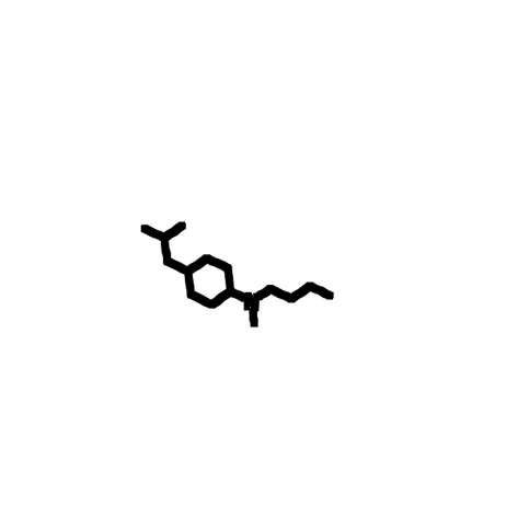 CCCCN(C)C1CCC(CC(C)C)CC1